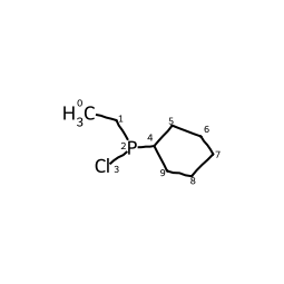 CCP(Cl)C1CCCCC1